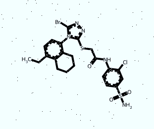 CCc1ccc(-n2c(Br)nnc2SCC(=O)Nc2ccc(S(N)(=O)=O)cc2Cl)c2c1CCCC2